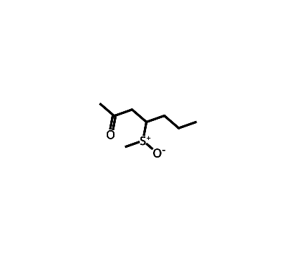 CCCC(CC(C)=O)[S+](C)[O-]